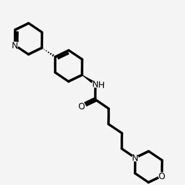 O=C(CCCCN1CCOCC1)N[C@@H]1CC=C([C@H]2CCC=NC2)CC1